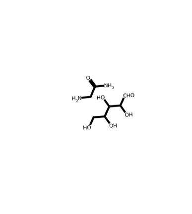 NCC(N)=O.O=CC(O)C(O)C(O)CO